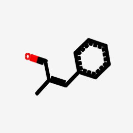 CC([C]=O)=Cc1ccccc1